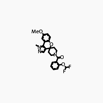 COc1ccc2c(c1)-c1c(cnn1C)C1(CCN(C(=O)c3ccccc3OC(F)F)CC1)O2